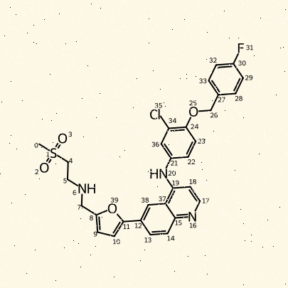 CS(=O)(=O)CCNCc1ccc(-c2ccc3nccc(Nc4ccc(OCc5ccc(F)cc5)c(Cl)c4)c3c2)o1